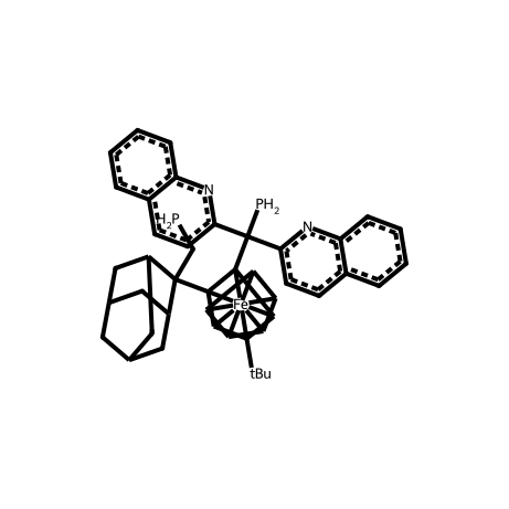 CC(C)(C)[C]12[CH]3[C]4(C(P)(c5ccc6ccccc6n5)c5ccc6ccccc6n5)[C]5(C6(CP)C7CC8CC(C7)CC6C8)[CH]1[Fe]32451678[CH]2[CH]1[CH]6[CH]7[CH]28